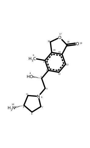 Cc1c([C@@H](O)CN2CC[C@H](N)C2)ccc2c1COC2=O